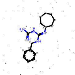 N=C(N)NC(=NC1CCCCCC1)NCc1ccccc1